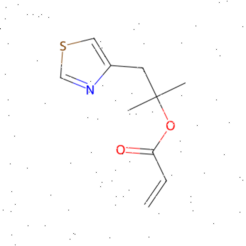 C=CC(=O)OC(C)(C)Cc1cscn1